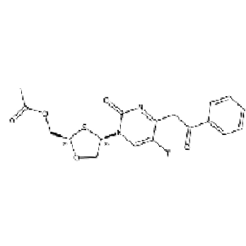 CC(=O)OC[C@@H]1OC[C@H](n2cc(F)c(CC(=O)c3ccccc3)nc2=O)S1